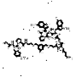 CCCC(=O)N[C@@H](Cc1ccc(OC)cc1)C(=O)N1CCCC1C(=O)NCCSCc1cc(O)cc(CSCCC(=O)N(C)[C@@H](CCCCN)C(=O)NCC(=O)N[C@@H](Cc2cn(C)c3ccc(F)cc23)C(=O)N(N)[C@@H](Cc2c[nH]c3ccc(P)cc23)C(=O)N2CCC[C@H]2C(N)=O)c1